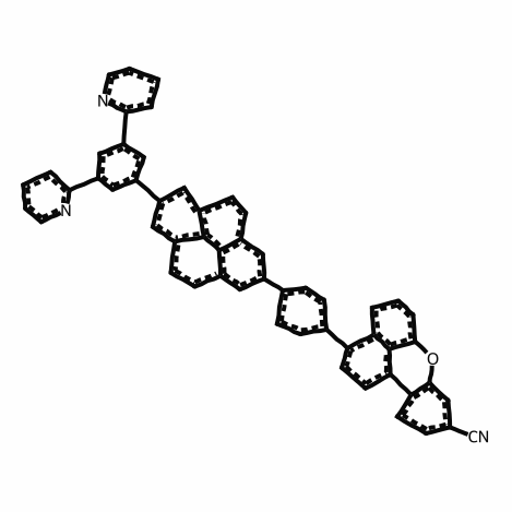 N#Cc1ccc2c(c1)Oc1cccc3c(-c4ccc(-c5cc6ccc7cc(-c8cc(-c9ccccn9)cc(-c9ccccn9)c8)cc8ccc(c5)c6c78)cc4)ccc-2c13